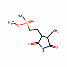 COP(C)(=O)CCC1C(=O)NC(=O)C1C